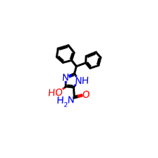 NC(=O)c1[nH]c(C(c2ccccc2)c2ccccc2)nc1O